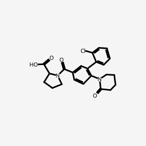 O=C(O)C1CCCN1C(=O)c1ccc(N2CCCCC2=O)c(-c2ccccc2Cl)c1